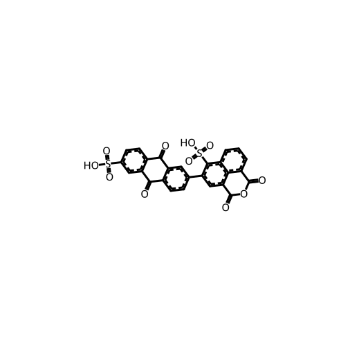 O=C1c2ccc(S(=O)(=O)O)cc2C(=O)c2ccc(-c3cc4c5c(cccc5c3S(=O)(=O)O)C(=O)OC4=O)cc21